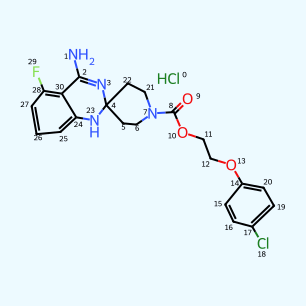 Cl.NC1=NC2(CCN(C(=O)OCCOc3ccc(Cl)cc3)CC2)Nc2cccc(F)c21